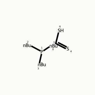 CCCCP(CCCC)CCCC.S=CS